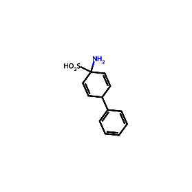 NC1(S(=O)(=O)O)C=CC(c2ccccc2)C=C1